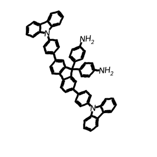 Nc1ccc(C2(c3ccc(N)cc3)c3cc(-c4ccc(-n5c6ccccc6c6ccccc65)cc4)ccc3-c3ccc(-c4ccc(-n5c6ccccc6c6ccccc65)cc4)cc32)cc1